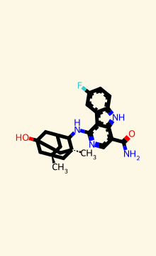 C[C@]12CC3CC(O)(C1)C[C@](C)(C2)C3Nc1ncc(C(N)=O)c2[nH]c3ccc(F)cc3c12